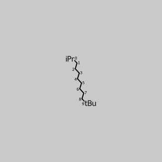 CC(C)CCCCCCCCC(C)(C)C